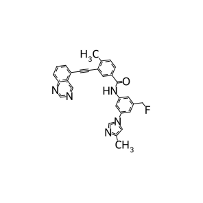 Cc1cn(-c2cc(CF)cc(NC(=O)c3ccc(C)c(C#Cc4cccc5ncncc45)c3)c2)cn1